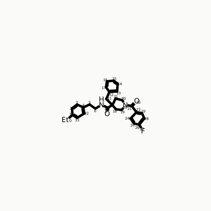 CCc1ccc(CCNC(=O)C2(Cc3ccccc3)CCN(C(=O)c3ccc(F)cc3)CC2)cc1